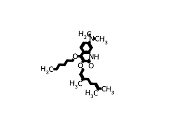 CCCCCCOc1c(OCC=C(C)CCC=C(C)C)c(=O)[nH]c2cc(N(C)C)ccc12